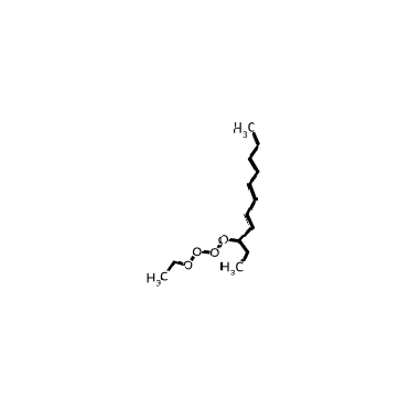 CCCCCCCCC(CC)OOOOCC